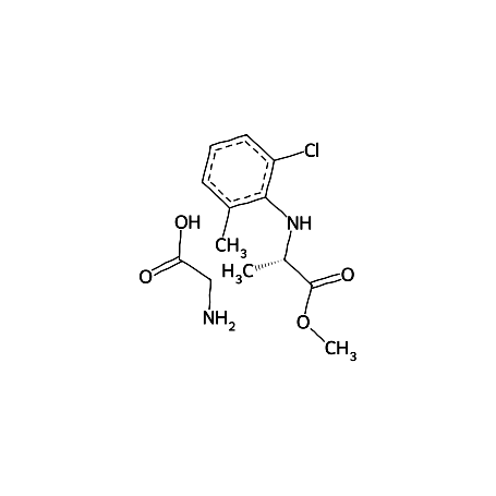 COC(=O)[C@H](C)Nc1c(C)cccc1Cl.NCC(=O)O